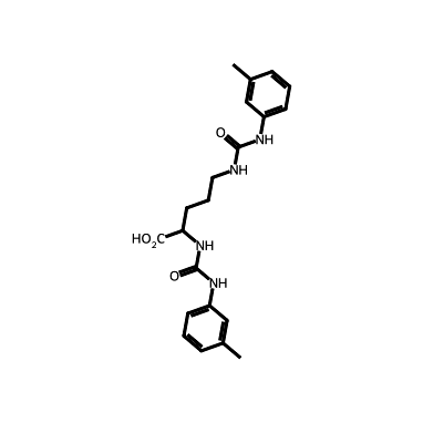 Cc1cccc(NC(=O)NCCCC(NC(=O)Nc2cccc(C)c2)C(=O)O)c1